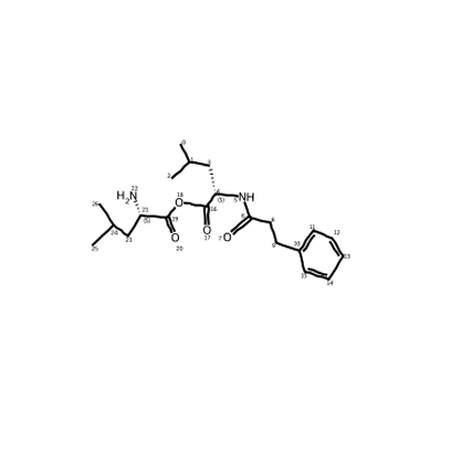 CC(C)C[C@H](NC(=O)CCc1ccccc1)C(=O)OC(=O)[C@@H](N)CC(C)C